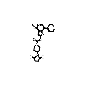 COc1ncc(C2=CCOCC2)c2sc(NC(=O)N3CCC(N4C(=O)CCC4=O)CC3)nc12